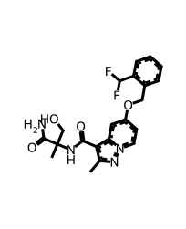 Cc1nn2ccc(OCc3ccccc3C(F)F)cc2c1C(=O)NC(C)(CO)C(N)=O